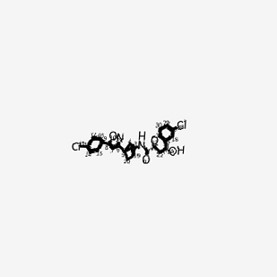 O=C(NC1CC2(c3cc(-c4ccc(Cl)cc4)on3)CC1C2)[C@H]1C[C@@H](O)c2cc(Cl)ccc2O1